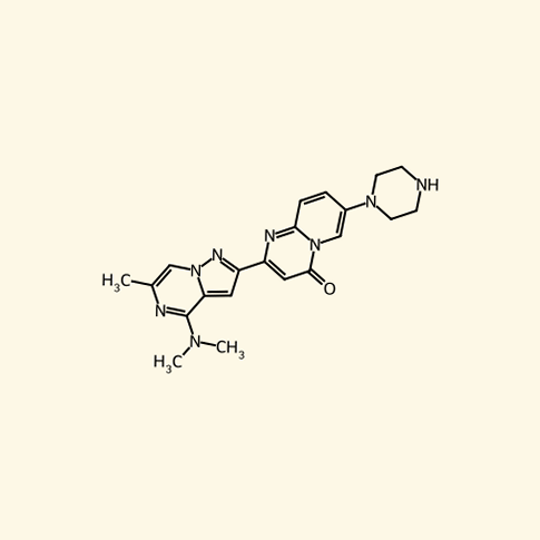 Cc1cn2nc(-c3cc(=O)n4cc(N5CCNCC5)ccc4n3)cc2c(N(C)C)n1